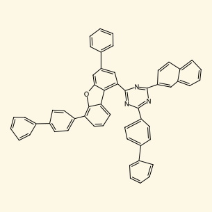 c1ccc(-c2ccc(-c3nc(-c4ccc5ccccc5c4)nc(-c4cc(-c5ccccc5)cc5oc6c(-c7ccc(-c8ccccc8)cc7)cccc6c45)n3)cc2)cc1